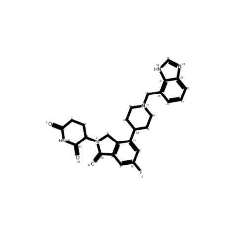 O=C1CCC(N2Cc3c(cc(F)cc3C3CCN(Cc4cccc5nc[nH]c45)CC3)C2=O)C(=O)N1